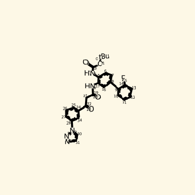 CC(C)(C)OC(=O)Nc1ccc(-c2ccccc2F)cc1NC(=O)CC(=O)c1cccc(-n2ccnn2)c1